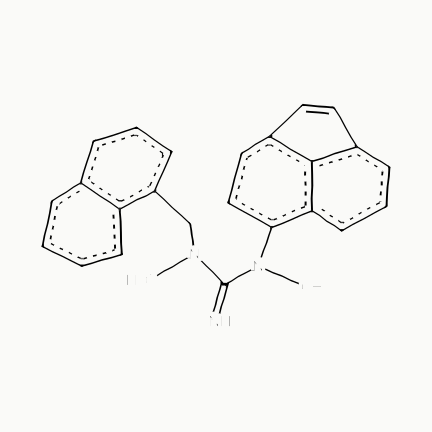 CN(Cc1cccc2ccccc12)C(=N)N(C)c1ccc2c3c(cccc13)C=C2